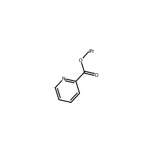 CC(C)OC(=O)c1ccc[c]n1